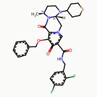 C[C@H]1CCN(C2CCSCC2)[C@@H]2Cn3cc(C(=O)NCc4ccc(F)cc4F)c(=O)c(OCc4ccccc4)c3C(=O)N12